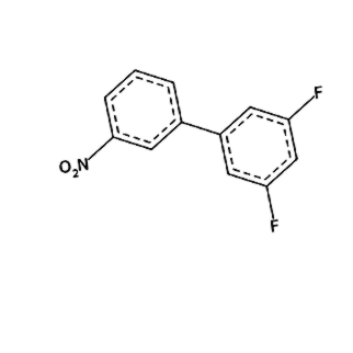 O=[N+]([O-])c1cccc(-c2cc(F)cc(F)c2)c1